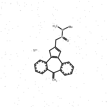 C=C1c2ccccc2C2=C(CC(C[Si](=O)N(C)C(C)(C)C)=C2)c2ccccc21.[Ti+4]